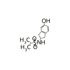 CC(C)S(=O)(=O)NC1Cc2ccc(O)cc2C1